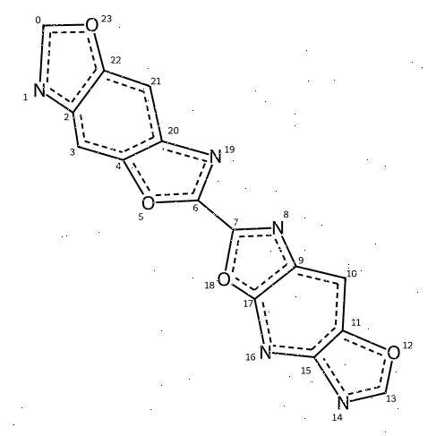 c1nc2cc3oc(-c4nc5cc6ocnc6nc5o4)nc3cc2o1